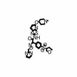 CN1CCC(Oc2ccc3nc(NC(=O)/C(=N/OCc4ncccn4)c4ccc(S(=O)(=O)[C@H]5CCOC5)cc4)sc3n2)CC1